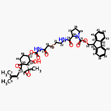 CC(C)=CC[C@H]1OC1(C)[C@H]1[C@H](O)[C@H](OC(=O)NC(=O)CSCCNC(=O)C2CCCN2C(=O)OCC2c3ccccc3-c3ccccc32)CC[C@]12CO2